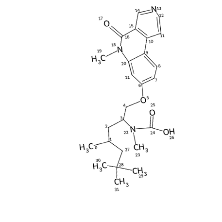 CC(CC(COc1ccc2c3ccncc3c(=O)n(C)c2c1)N(C)C(=O)O)CC(C)(C)C